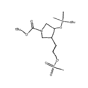 CC(C)(C)OC(=O)N1CC(CCOS(C)(=O)=O)C(O[Si](C)(C)C(C)(C)C)C1